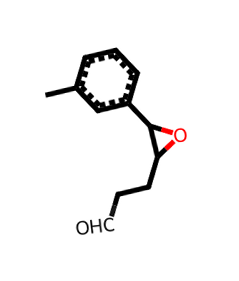 Cc1cccc(C2OC2CCC=O)c1